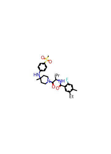 CCc1cc(C(=O)NC(C(=O)N2CCC(C)(Nc3ccc(S(C)(=O)=O)cc3)CC2)C(C)C)c(F)cc1C